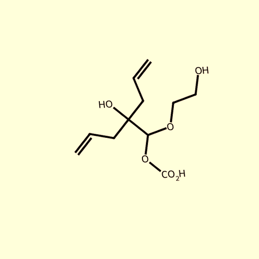 C=CCC(O)(CC=C)C(OCCO)OC(=O)O